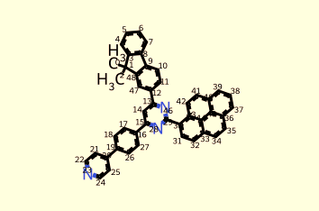 CC1(C)c2ccccc2-c2ccc(-c3cc(-c4ccc(-c5ccncc5)cc4)nc(-c4ccc5ccc6cccc7ccc4c5c67)n3)cc21